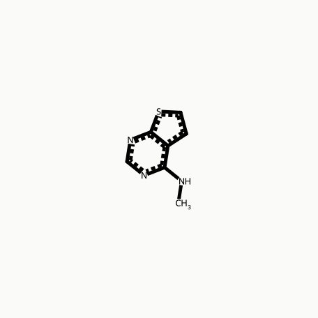 CNc1ncnc2sccc12